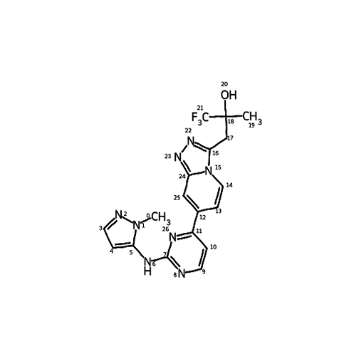 Cn1nccc1Nc1nccc(-c2ccn3c(CC(C)(O)C(F)(F)F)nnc3c2)n1